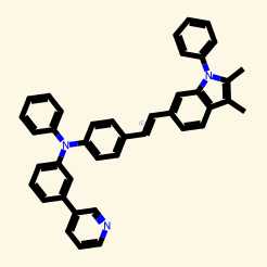 Cc1c(C)n(-c2ccccc2)c2cc(/C=C/c3ccc(N(c4ccccc4)c4cccc(-c5cccnc5)c4)cc3)ccc12